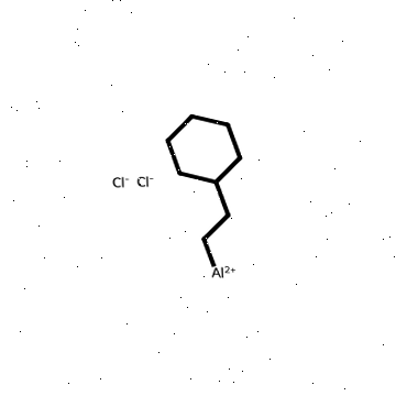 [Al+2][CH2]CC1CCCCC1.[Cl-].[Cl-]